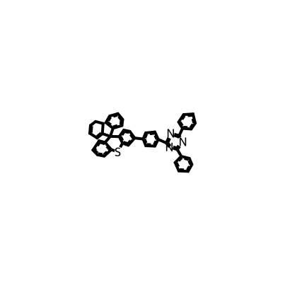 C1=CCCC(C2(c3ccccc3)c3ccccc3Sc3cc(-c4ccc(-c5nc(-c6ccccc6)nc(-c6ccccc6)n5)cc4)ccc32)=C1